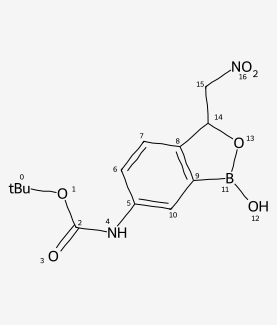 CC(C)(C)OC(=O)Nc1ccc2c(c1)B(O)OC2C[N+](=O)[O-]